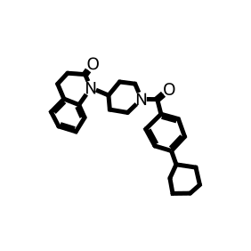 O=C(c1ccc(C2CCCCC2)cc1)N1CCC(N2C(=O)CCc3ccccc32)CC1